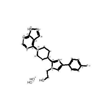 Cl.Cl.OCCn1cc(-c2ccc(F)cc2)nc1C1CCN(c2ncnc3[nH]ncc23)CC1